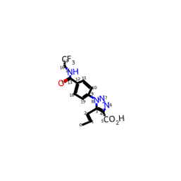 CC=Cc1c(C(=O)O)nnn1-c1ccc(C(=O)NCC(F)(F)F)cc1